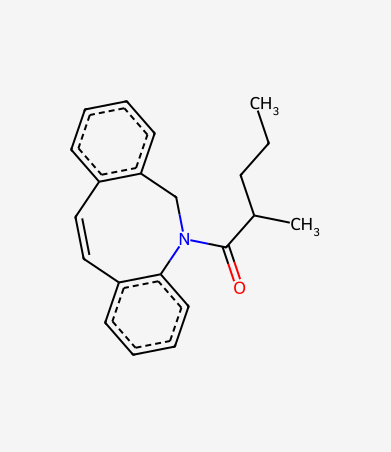 CCCC(C)C(=O)N1Cc2ccccc2/C=C\c2ccccc21